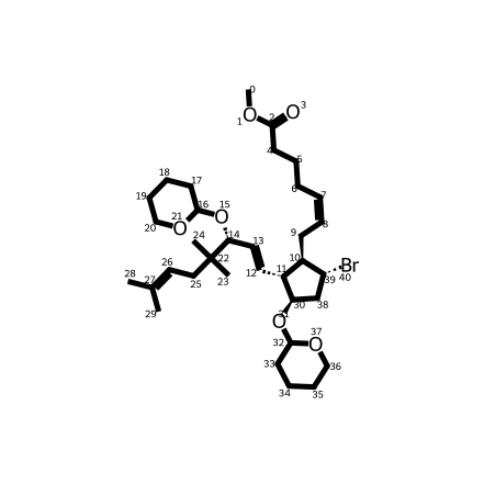 COC(=O)CCC/C=C\C[C@@H]1[C@@H](/C=C/[C@@H](OC2CCCCO2)C(C)(C)CC=C(C)C)[C@H](OC2CCCCO2)C[C@H]1Br